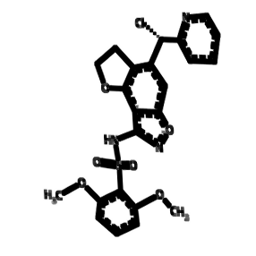 COc1cccc(OC)c1S(=O)(=O)Nc1noc2cc([C@H](Cl)c3ccccn3)c3c(c12)OCC3